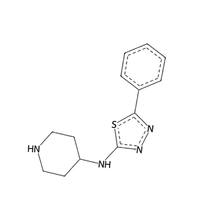 c1ccc(-c2nnc(NC3CCNCC3)s2)cc1